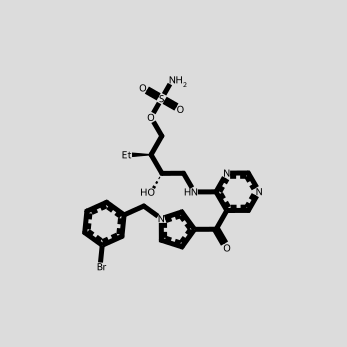 CC[C@@H](COS(N)(=O)=O)[C@@H](O)CNc1ncncc1C(=O)c1ccn(Cc2cccc(Br)c2)c1